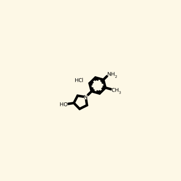 Cc1cc(N2CCC(O)C2)ccc1N.Cl